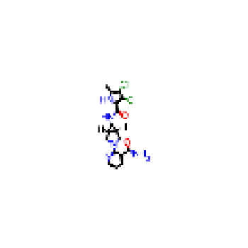 Cc1[nH]c(C(=O)N[C@@H]2[C@@H]3CN(c4ncccc4C(N)=O)C[C@@H]32)c(Cl)c1Cl